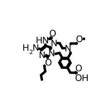 CCCCOc1nc(N)c2[nH]c(=O)n(CCN(CCOC)Cc3cc(CC(=O)O)ccc3CC)c2n1